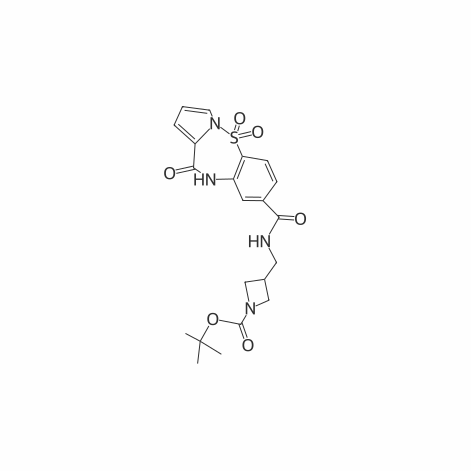 CC(C)(C)OC(=O)N1CC(CNC(=O)c2ccc3c(c2)NC(=O)c2cccn2S3(=O)=O)C1